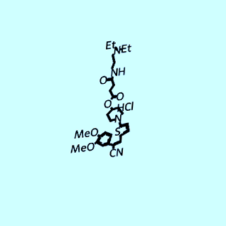 CCN(CC)CCCNC(=O)CCC(=O)OC1CCN(c2ccc(C=C(C#N)c3ccc(OC)c(OC)c3)s2)CC1.Cl